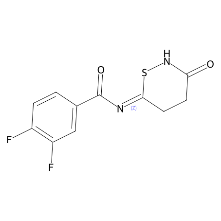 O=C1CC/C(=N/C(=O)c2ccc(F)c(F)c2)SN1